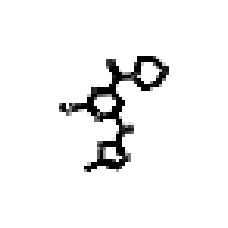 Cc1cnc(Nc2cc(C(=O)N3CCOCC3)nc(N)n2)s1